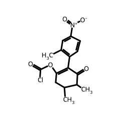 Cc1cc([N+](=O)[O-])ccc1C1=C(OC(=O)Cl)CC(C)C(C)C1=O